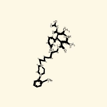 COc1ccccc1N1CCN(CCCCCCOC(=O)C2=C(C)NC(C)=C(C(=O)OC(Cl)Cl)C2c2cccc([N+](=O)[O-])c2)CC1